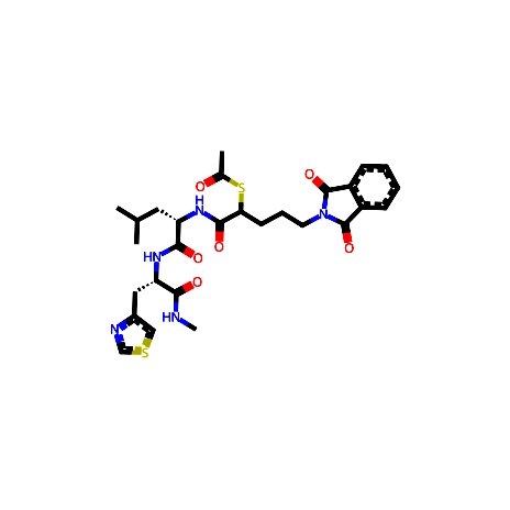 CNC(=O)[C@H](Cc1cscn1)NC(=O)[C@H](CC(C)C)NC(=O)C(CCCN1C(=O)c2ccccc2C1=O)SC(C)=O